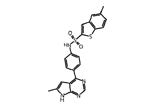 Cc1ccc2sc(S(=O)(=O)Nc3ccc(-c4ncnc5[nH]c(C)cc45)cc3)cc2c1